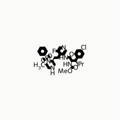 COC(=O)N[C@H](C(=O)Nc1cncc(F)c1CC[C@H]1CNC[C@H](C)N1S(=O)(=O)c1ccccc1)[C@@H](c1ccc(Cl)cc1)C(C)C